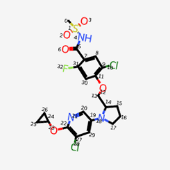 CS(=O)(=O)NC(=O)c1cc(Cl)c(OCC2CCCN2c2cnc(OC3CC3)c(Cl)c2)cc1F